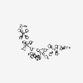 C.C.C.O=P([O-])([O-])[O-].O=P([O-])([O-])[O-].O=P([O-])([O-])[O-].O=P([O-])([O-])[O-].[Zr+4].[Zr+4].[Zr+4]